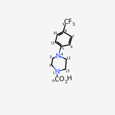 O=C(O)N1CCN(c2ccc(C(F)(F)F)cc2)CC1